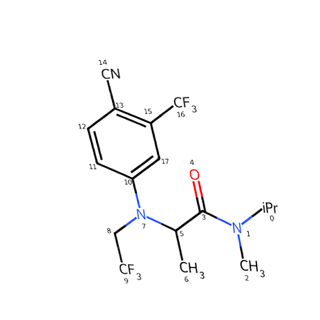 CC(C)N(C)C(=O)C(C)N(CC(F)(F)F)c1ccc(C#N)c(C(F)(F)F)c1